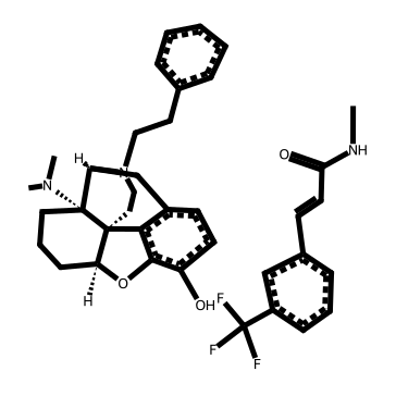 CN(C)[C@@]12CCC[C@@H]3Oc4c(O)ccc5c4[C@@]31CCN(CCc1ccccc1)[C@@H]2C5.CNC(=O)/C=C/c1cccc(C(F)(F)F)c1